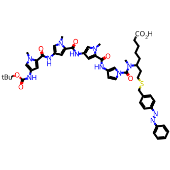 CN(C(=O)n1ccc(NC(=O)c2cc(NC(=O)c3cc(NC(=O)c4cc(NC(=O)OC(C)(C)C)cn4C)cn3C)cn2C)c1)C(CCCCC(=O)O)CCSCc1ccc(N=Nc2ccccc2)cc1